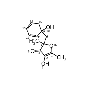 CC1=C(O)C(=O)C(C)(CC2(O)C=CC=CC2)O1